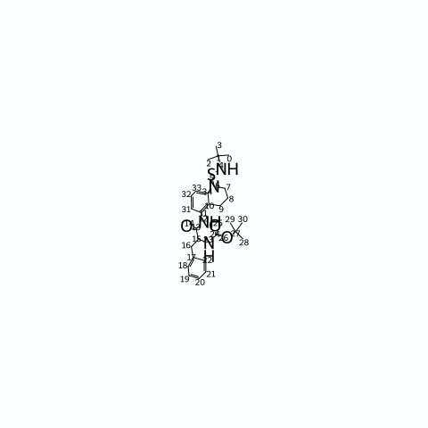 CC(C)(C)NSN1CCCc2c(NC(=O)C(Cc3ccccc3)NC(=O)OC(C)(C)C)cccc21